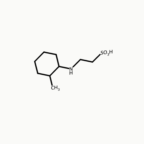 CC1CCCCC1NCCS(=O)(=O)O